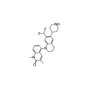 Cc1cc2c(N3CCCc4cc(C5CCNCC5)c(C(F)F)cc43)cccc2n(C)c1=O